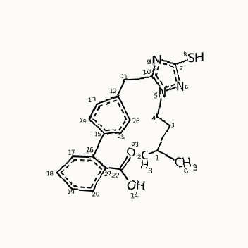 CC(C)CCn1nc(S)nc1Cc1ccc(-c2ccccc2C(=O)O)cc1